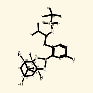 CC(C)C(Cc1ccc(Cl)cc1B1O[C@@H]2C[C@@H]3C[C@@H](C3(C)C)[C@]2(C)O1)O[Si](C)(C)C(C)(C)C